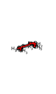 CNC(=O)OCC(COC(=O)NC)OCCCC(=O)NCCCCCCCCCCn1cc(COc2ccc(C[C@H](NC(=O)[C@H](CC(C)C)NC)C(N)=O)cc2)nn1